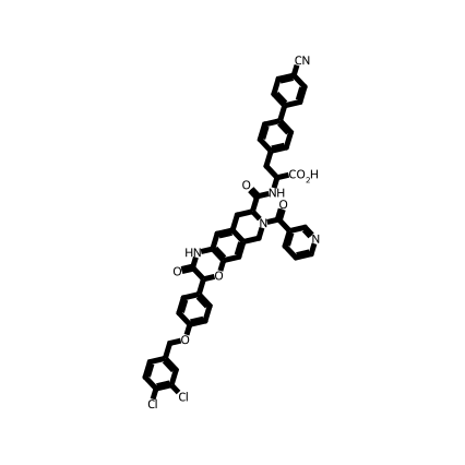 N#Cc1ccc(-c2ccc(CC(NC(=O)C3Cc4cc5c(cc4CN3C(=O)c3cccnc3)OC(c3ccc(OCc4ccc(Cl)c(Cl)c4)cc3)C(=O)N5)C(=O)O)cc2)cc1